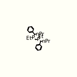 CCCC(c1ccccc1)P(CC)CP(CC)C(CCC)c1ccccc1